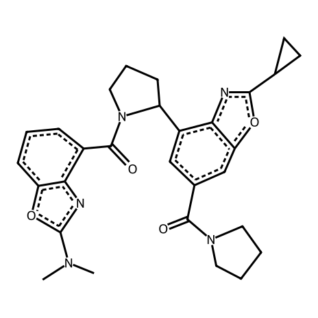 CN(C)c1nc2c(C(=O)N3CCCC3c3cc(C(=O)N4CCCC4)cc4oc(C5CC5)nc34)cccc2o1